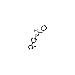 OC(COc1ccc(-c2ccccc2I)cc1)CN1CCCCC1